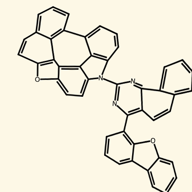 c1ccc2c(c1)ccc1c(-c3cccc4c3oc3ccccc34)nc(-n3c4cccc5c4c4c6c(ccc43)oc3ccc4cccc-5c4c36)nc12